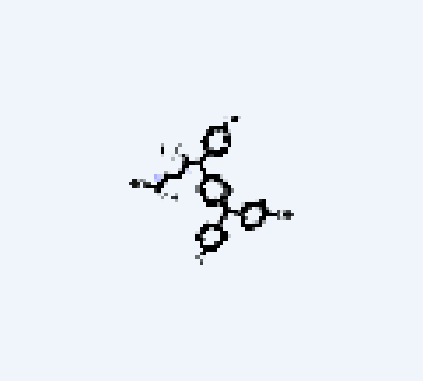 C/C(O)=C\C=C(/C)C(c1ccc(O)cc1)c1ccc(C(c2ccc(O)cc2)c2ccc(O)cc2)cc1